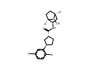 N#CN1[C@H]2CC[C@@H]1[C@H](NC(=O)[C@@H]1CC[C@@H](c3cc(Cl)ccc3Cl)C1)C2